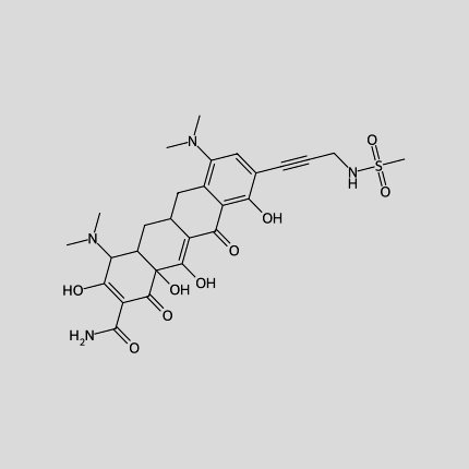 CN(C)c1cc(C#CCNS(C)(=O)=O)c(O)c2c1CC1CC3C(N(C)C)C(O)=C(C(N)=O)C(=O)C3(O)C(O)=C1C2=O